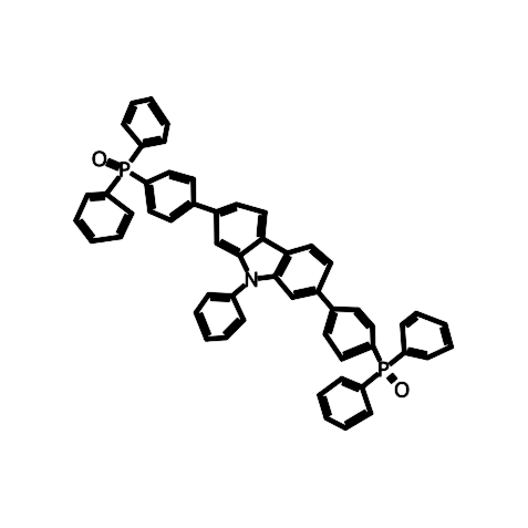 O=P(c1ccccc1)(c1ccccc1)c1ccc(-c2ccc3c4ccc(-c5ccc(P(=O)(c6ccccc6)c6ccccc6)cc5)cc4n(-c4ccccc4)c3c2)cc1